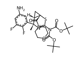 CC(C)(C)OC(=O)N(C(=O)OC(C)(C)C)C1=N[C@](C)(c2cc(N)cc(F)c2F)[C@@H]2C[C@]2(C(=O)N2CCOCC2)S1